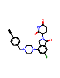 C#Cc1ccc(CN2CCN(c3cc(F)cc4c3CN(C3CCC(=O)NC3=O)C4=O)CC2)cc1